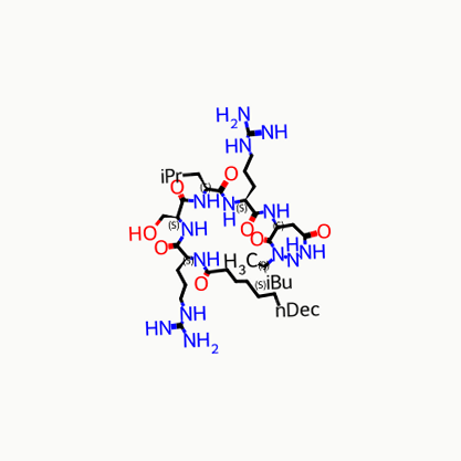 CCCCCCCCCCCCCCCC(=O)N[C@@H](CCCNC(=N)N)C(=O)N[C@@H](CO)C(=O)N[C@@H](CC(C)C)C(=O)N[C@@H](CCCNC(=N)N)C(=O)N[C@H]1CC(=O)NNN([C@H](C)[C@@H](C)CC)C1=O